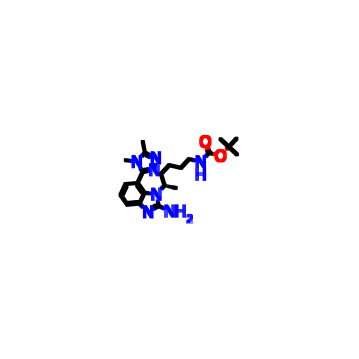 Cc1nnc(-c2cccc3nc(N)n([C@H](C)CCCCNC(=O)OC(C)(C)C)c23)n1C